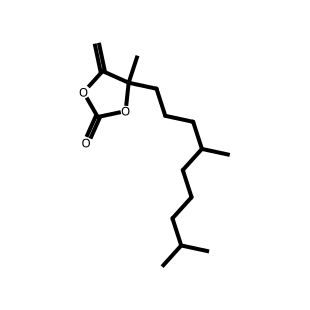 C=C1OC(=O)OC1(C)CCCC(C)CCCC(C)C